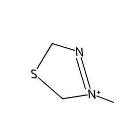 C[N+]1=NCSC1